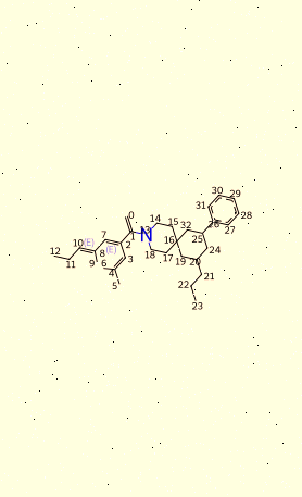 C=C(/C(C=C(C)C)=C/C(C)=C/CC)N1CCC2(CC1)CC(CCC)CC(c1ccccc1)C2